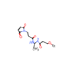 CCOCCC(=O)NC(C)NC(=O)CCN1C(=O)C=CC1=O